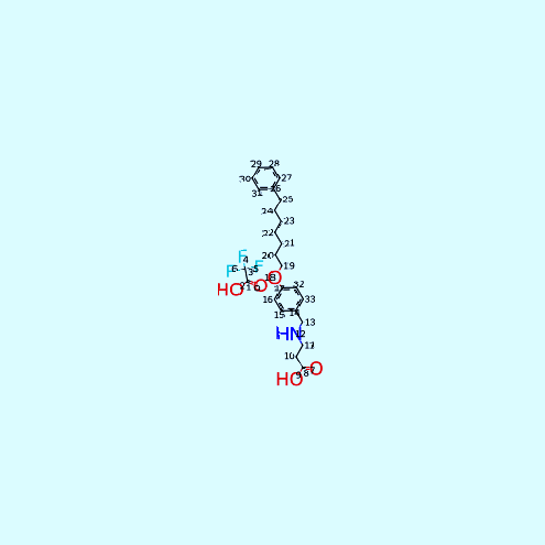 O=C(O)C(F)(F)F.O=C(O)CCNCc1ccc(OCCCCCCCc2ccccc2)cc1